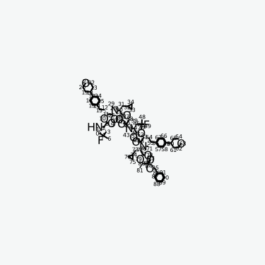 CN[C@@H](CC(C)(C)F)C(=O)O[C@H](CCc1ccc(C2CCOCC2)cc1)C(=O)N(C)[C@@H](CC1CC1)C(=O)O[C@H](C)C(=O)N(C)[C@@H](CC(C)(C)F)C(=O)O[C@H](CCc1ccc(C2CCOCC2)cc1)C(=O)N(C)[C@@H](CC1CC1)C(=O)O[C@H](C)C(=O)OCc1ccccc1